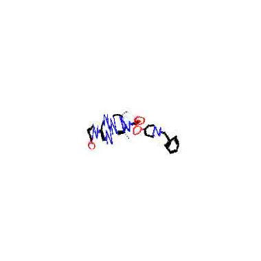 C[C@@H]1CN(c2ncc(N3CCC3=O)cn2)C[C@H](C)N1C(=O)OC1CCN(Cc2ccccc2)CC1